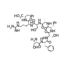 CC(C)C[C@H](NC(=O)[C@H](CCCNC(=N)N)NC(=O)[C@H](CO)NC(=O)[C@H](C)NC(=O)[C@H](CC(C)C)NC(=O)[C@H](CO)NC(=O)[C@H](Cc1ccccc1)NC(=O)[C@@H](N)CO)C(=O)O